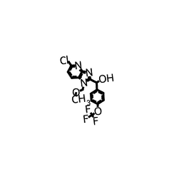 COCn1c(C(O)c2ccc(OC(F)(F)F)cc2)nc2nc(Cl)ccc21